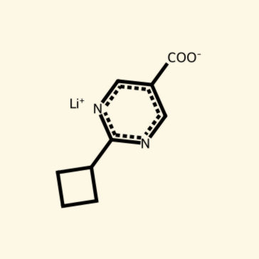 O=C([O-])c1cnc(C2CCC2)nc1.[Li+]